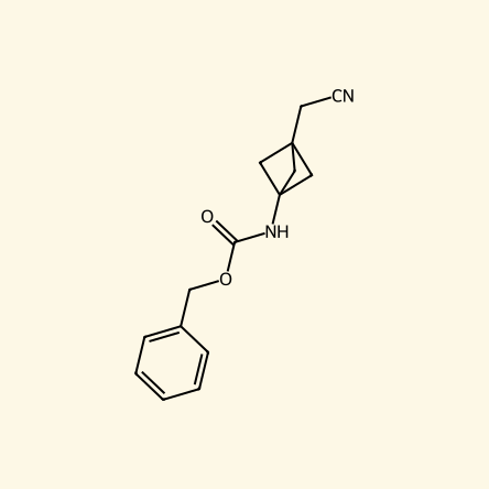 N#CCC12CC(NC(=O)OCc3ccccc3)(C1)C2